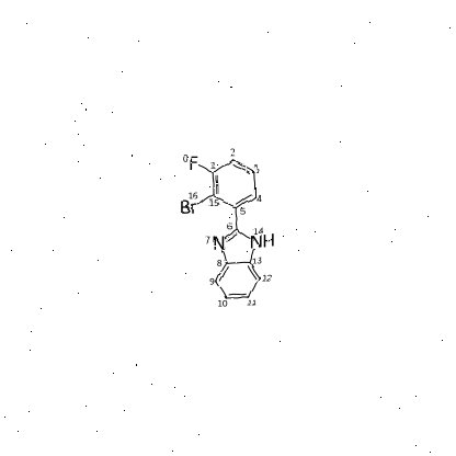 Fc1cccc(-c2nc3ccccc3[nH]2)c1Br